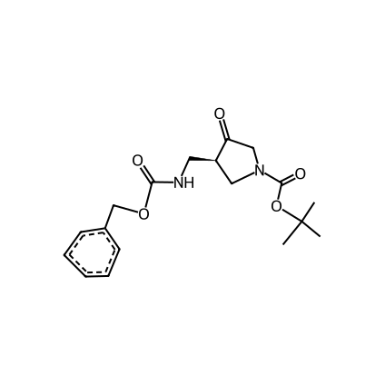 CC(C)(C)OC(=O)N1CC(=O)[C@H](CNC(=O)OCc2ccccc2)C1